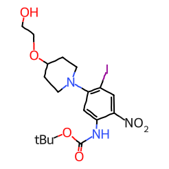 CC(C)(C)OC(=O)Nc1cc(N2CCC(OCCO)CC2)c(I)cc1[N+](=O)[O-]